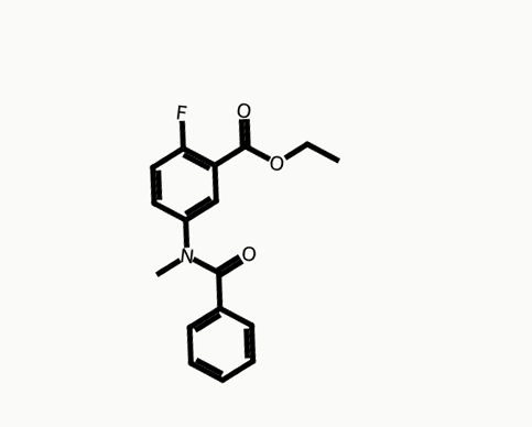 CCOC(=O)c1cc(N(C)C(=O)c2ccccc2)ccc1F